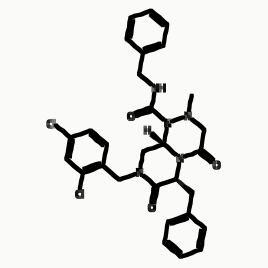 CN1CC(=O)N2[C@@H](Cc3ccccc3)C(=O)N(Cc3ccc(Cl)cc3Cl)C[C@@H]2N1C(=O)NCc1ccccc1